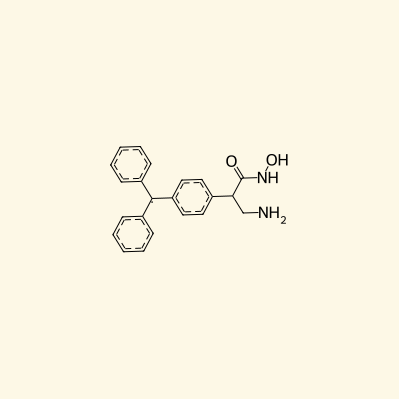 NCC(C(=O)NO)c1ccc([C](c2ccccc2)c2ccccc2)cc1